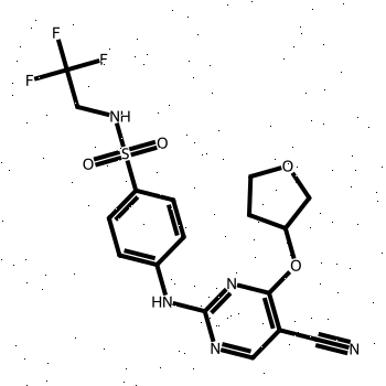 N#Cc1cnc(Nc2ccc(S(=O)(=O)NCC(F)(F)F)cc2)nc1OC1CCOC1